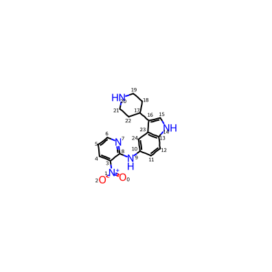 O=[N+]([O-])c1cccnc1Nc1ccc2[nH]cc(C3CCNCC3)c2c1